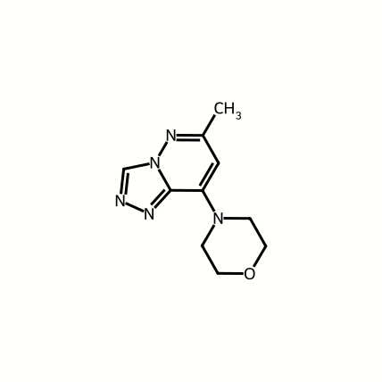 Cc1cc(N2CCOCC2)c2nncn2n1